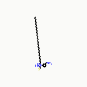 CCCCCCCCCCCCCCCCCCCCCCCCCCCCCCCCCC1=NNC(C=S)N1c1cccc(CN)c1